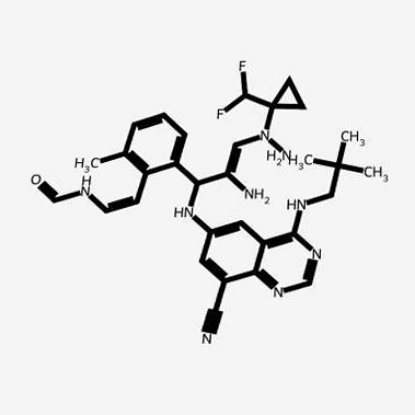 Cc1cccc(C(Nc2cc(C#N)c3ncnc(NCC(C)(C)C)c3c2)/C(N)=C/N(N)C2(C(F)F)CC2)c1/C=C\NC=O